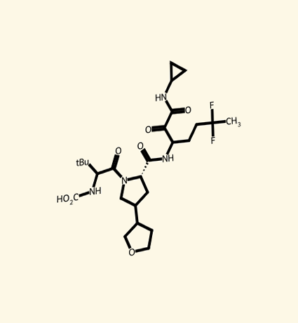 CC(F)(F)CCC(NC(=O)[C@@H]1CC(C2CCOC2)CN1C(=O)C(NC(=O)O)C(C)(C)C)C(=O)C(=O)NC1CC1